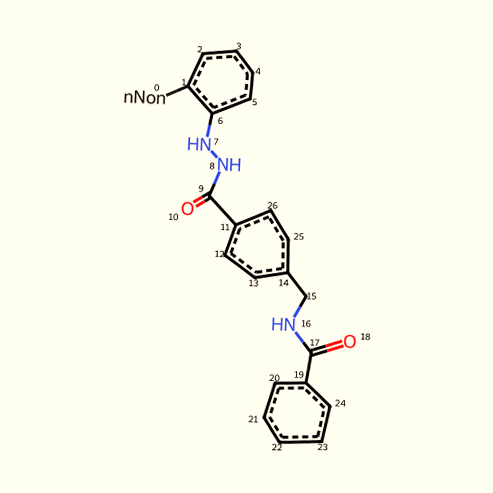 CCCCCCCCCc1ccccc1NNC(=O)c1ccc(CNC(=O)c2ccccc2)cc1